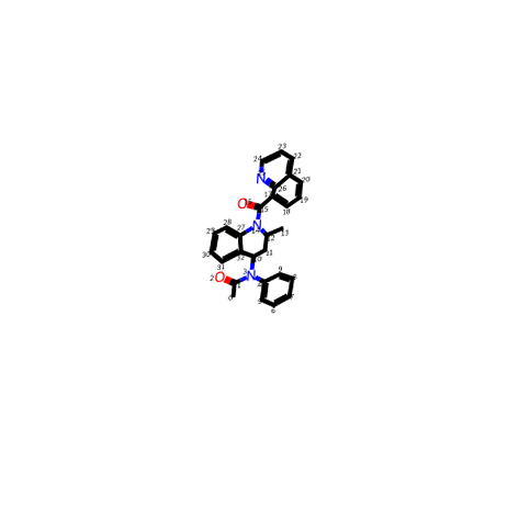 CC(=O)N(c1ccccc1)C1CC(C)N(C(=O)c2cccc3cccnc23)c2ccccc21